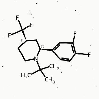 CC(C)(C)N1CC[C@@H](C(F)(F)F)C[C@H]1c1ccc(F)c(F)c1